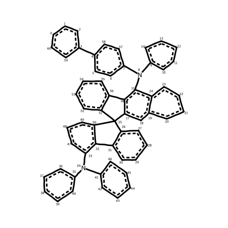 c1ccc(-c2ccc(N(c3ccccc3)c3c4c(cc5ccccc35)C3(c5ccccc5-c5c(N(c6ccccc6)c6ccccc6)cccc53)c3ccccc3-4)cc2)cc1